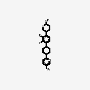 CCCc1ccc(C2CCC(c3ccc(C4CCC(CCC)OC4)c(F)c3F)CC2)nc1